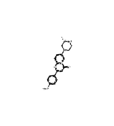 COc1ccc(-c2cc(=O)n3cc(N4CCN[C@@H](C)C4)ccc3n2)cc1